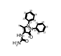 Cc1c(NC(N)=O)c(=O)n(-c2ccccc2)n1-c1ccccc1